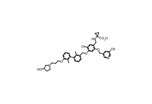 Cc1c(COc2cc(OCc3cncc(C#N)c3)c(CNC3(C(=O)O)CC3)cc2Cl)cccc1-c1cccc(OCCCN2CCC(O)C2)c1C